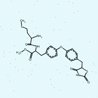 COC(=O)C(Cc1ccc(Oc2ccc(CC3SC(=O)NC3=O)cc2)cc1)NC(=O)C(N)CCSC